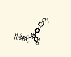 CN1CCN(c2ccc(-c3nn(COCC[Si](C)(C)C)c4cc(Cl)ncc34)cc2)CC1